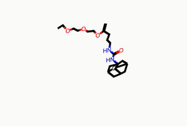 C=C(CCCNC(=O)NC12CC3CC(CC(C3)C1)C2)OCCOCCOCC